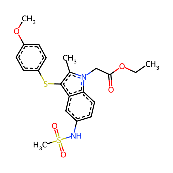 CCOC(=O)Cn1c(C)c(Sc2ccc(OC)cc2)c2cc(NS(C)(=O)=O)ccc21